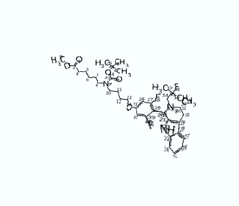 COC(=O)CCCCCN(CCCCOc1cc(F)c([C@@H]2c3[nH]c4ccccc4c3C[C@@H](C)N2CC(C)(C)F)c(F)c1)C(=O)OC(C)(C)C